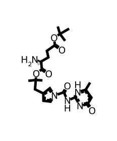 Cc1cc(=O)nc(NC(=O)n2ccc(CC(C)(C)OC(=O)[C@@H](N)CCC(=O)OC(C)(C)C)c2)[nH]1